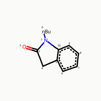 CCCCN1C(=O)Cc2ccccc21